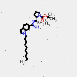 B/C(=N\C(=N)c1ccc2ccn(CCCCCCCCCC)c2c1)[C@@H]1CCCN1C(=O)OC(C)(C)C